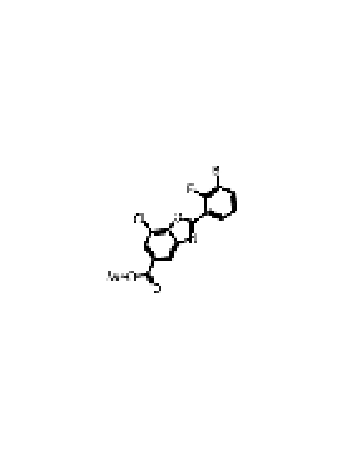 COC(=O)c1cc(Cl)c2oc(-c3cccc(Br)c3F)nc2c1